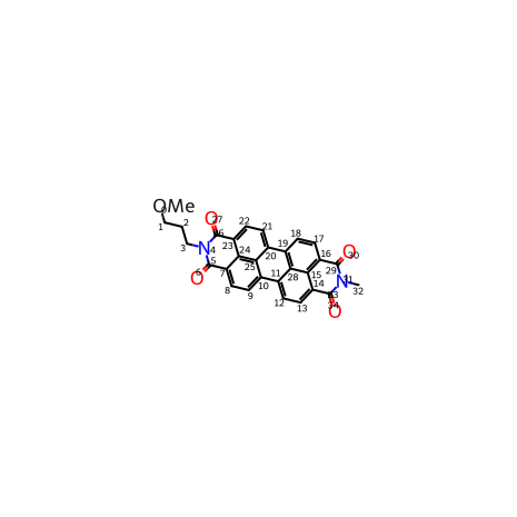 COCCCN1C(=O)c2ccc3c4ccc5c6c(ccc(c7ccc(c2c37)C1=O)c64)C(=O)N(C)C5=O